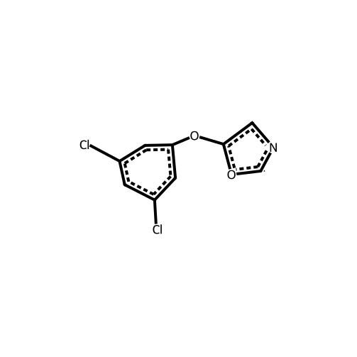 Clc1cc(Cl)cc(Oc2cn[c]o2)c1